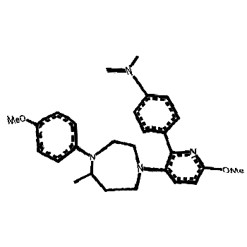 COc1ccc(N2CCN(c3ccc(OC)nc3-c3ccc(N(C)C)cc3)CCC2C)cc1